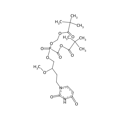 COC(CCn1ccc(=O)[nH]c1=O)COP(=O)(OCOC(=O)C(C)(C)C)C(=O)OC(=O)C(C)(C)C